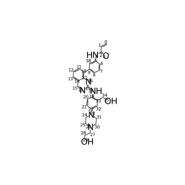 C=CC(=O)Nc1cccc(-c2cccc3cnc(Nc4ccc(N5CCN(CCO)CC5)cc4CO)nc23)c1